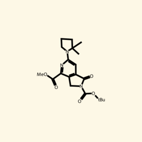 COC(=O)c1nc(N2CCCC2(C)C)cc2c1CN(C(=O)OC(C)(C)C)C2=O